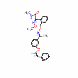 CNC(=O)/C(=N/OC)c1ccccc1CO/N=C(\C)c1cccc(O/C(F)=C\c2ccccc2)c1